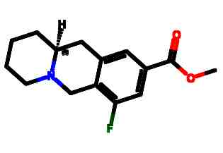 COC(=O)c1cc(F)c2c(c1)C[C@@H]1CCCCN1C2